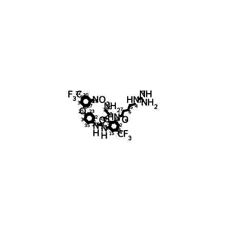 N=C(N)NCCCCC(=O)Nc1cc(C(F)(F)F)cc(NC(=O)Nc2ccc(Oc3cc([N+](=O)[O-])cc(C(F)(F)F)c3)cc2)c1SCCN